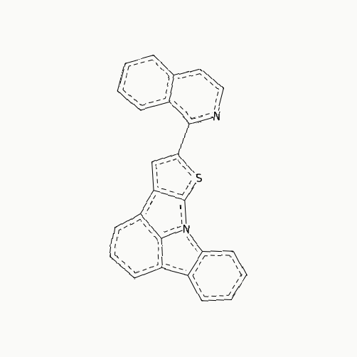 c1ccc2c(-c3cc4c5cccc6c7ccccc7n(c4s3)c65)nccc2c1